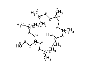 CC(O)CN(C)CCN(C)CCN(C)C.CN(C)CCN(CCO)CCN(C)C